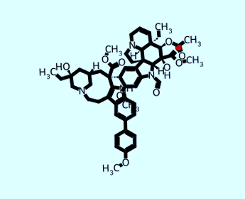 CC[C@]1(O)C[C@H]2CN(CCc3c([nH]c4ccc(-c5ccc(OC)cc5)cc34)[C@@](C(=O)OC)(C3C=C4C(=CC3OC)N(C=O)[C@H]3[C@@](O)(C(=O)OC)[C@H](OC(C)=O)[C@]5(CC)C=CCN6CC[C@]43[C@@H]65)C2)C1